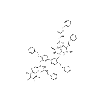 CC(C)[C@H](NC(=O)[C@H](Cc1cc(-c2ccc(OCc3ccccc3)c(C[C@H](NC(=O)OCc3ccccc3)C(=O)Oc3c(F)c(F)c(F)c(F)c3F)c2)ccc1OCc1ccccc1)NC(=O)[C@@H](N)C[C@@H](O)CNC(=O)OCc1ccccc1)C(=O)OCc1ccccc1